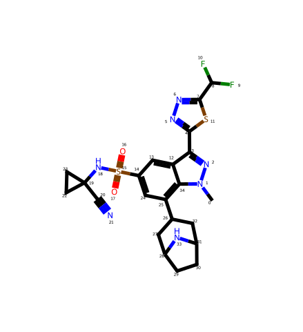 Cn1nc(-c2nnc(C(F)F)s2)c2cc(S(=O)(=O)NC3(C#N)CC3)cc(C3CC4CCC(C3)N4)c21